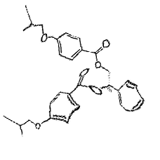 CC(C)COc1ccc(C(=O)OC[C@@H](OC(=O)c2ccc(OCC(C)C)cc2)c2ccccc2)cc1